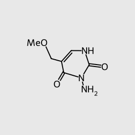 COCc1c[nH]c(=O)n(N)c1=O